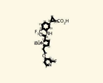 CC[C@H](C)n1c(CCOc2ccnc(F)c2)ccc1C(=O)Nc1cc([C@H]2C[C@H]2C(=O)O)ccc1C(F)(F)F